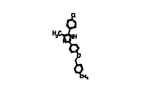 Cc1ccc(COc2ccc(-c3nc(C)c(-c4ccc(Cl)cc4)[nH]3)cc2)cc1